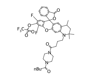 CCCCC(=O)N1CCN(C(=O)CCCN2c3cc4c(cc3C(C)CC2(C)C)C2(OC(=O)c3ccccc32)c2cc(F)c(OS(=O)(=O)C(F)(F)F)c(F)c2O4)CC1